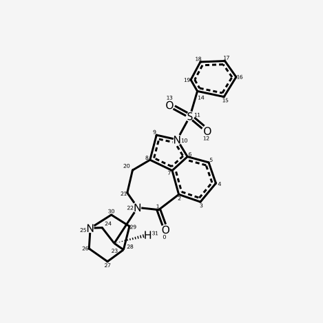 O=C1c2cccc3c2c(cn3S(=O)(=O)c2ccccc2)CCN1[C@@H]1CN2CCC1CC2